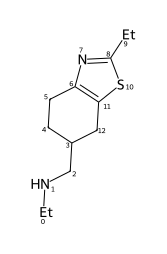 CCNCC1CCc2nc(CC)sc2C1